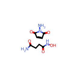 NC(=O)CCC(=O)NO.NN1C(=O)C=CC1=O